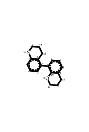 c1cc2c(c(-c3cccc4c3OCCC4)c1)CCCS2